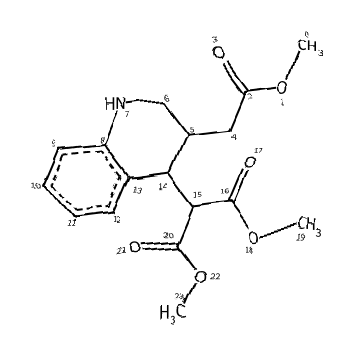 COC(=O)CC1CNc2ccccc2C1C(C(=O)OC)C(=O)OC